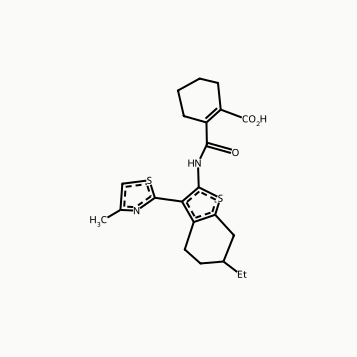 CCC1CCc2c(sc(NC(=O)C3=C(C(=O)O)CCCC3)c2-c2nc(C)cs2)C1